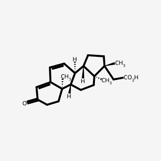 C[C@]1(CC(=O)O)CC[C@H]2[C@@H]3C=CC4=CC(=O)CC[C@]4(C)[C@H]3CC[C@@]21C